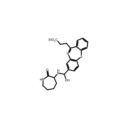 CCOC(=O)CCC1=Nc2cc(C(O)NC3CCCCNC3=O)ccc2Sc2ccccc21